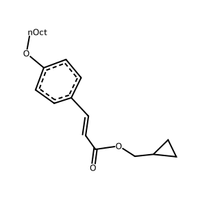 CCCCCCCCOc1ccc(C=CC(=O)OCC2CC2)cc1